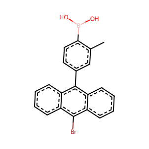 Cc1cc(-c2c3ccccc3c(Br)c3ccccc23)ccc1B(O)O